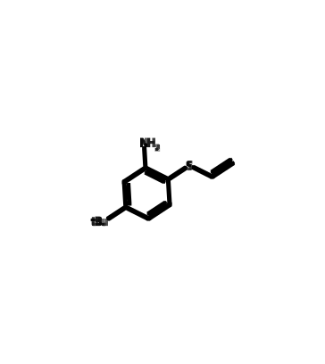 C=CSc1ccc(C(C)(C)C)cc1N